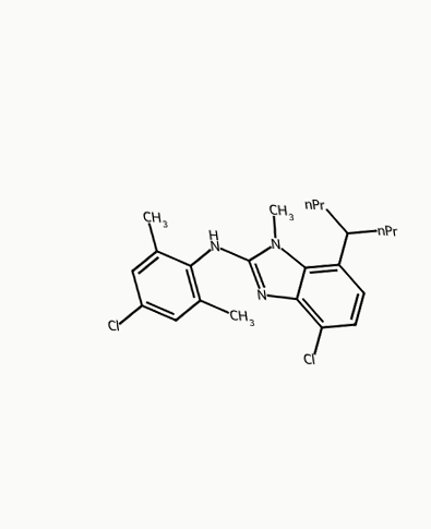 CCCC(CCC)c1ccc(Cl)c2nc(Nc3c(C)cc(Cl)cc3C)n(C)c12